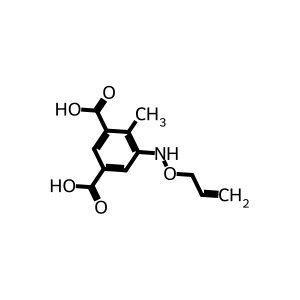 C=CCONc1cc(C(=O)O)cc(C(=O)O)c1C